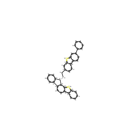 c1ccc(-c2ccc3c(c2)sc2cc(CC[C@H]4c5ccccc5-c5ccc6c(sc7ccccc76)c54)ccc23)cc1